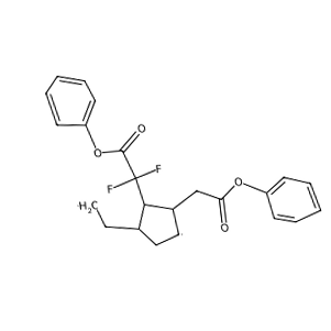 [CH2]CC1C[CH]C(CC(=O)Oc2ccccc2)C1C(F)(F)C(=O)Oc1ccccc1